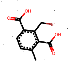 Cc1ccc(C(=O)O)c(CBr)c1C(=O)O